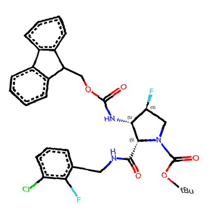 CC(C)(C)OC(=O)N1C[C@H](F)[C@@H](NC(=O)OCC2c3ccccc3-c3ccccc32)[C@H]1C(=O)NCc1cccc(Cl)c1F